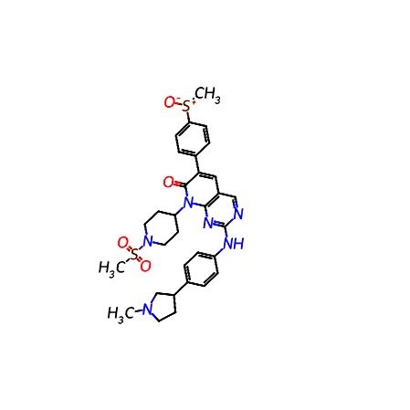 CN1CCC(c2ccc(Nc3ncc4cc(-c5ccc([S+](C)[O-])cc5)c(=O)n(C5CCN(S(C)(=O)=O)CC5)c4n3)cc2)C1